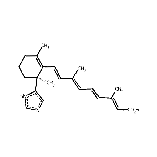 CC1=C(/C=C/C(C)=C/C=C/C(C)=C/C(=O)O)[C@@](C)(c2cnc[nH]2)CCC1